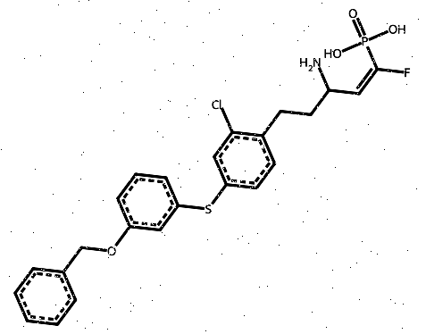 NC(/C=C(/F)P(=O)(O)O)CCc1ccc(Sc2cccc(OCc3ccccc3)c2)cc1Cl